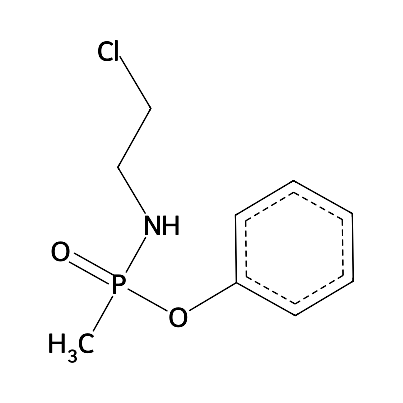 CP(=O)(NCCCl)Oc1ccccc1